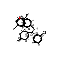 Cc1ccc(F)cc1[C@H]1CC(=O)C[C@@H](c2cccc(Cl)c2)[C@]12C(=O)Nc1ccc(Cl)cc12